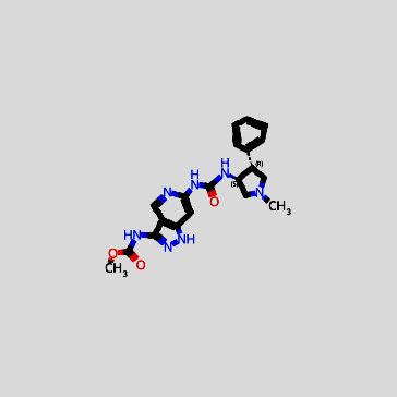 COC(=O)Nc1n[nH]c2cc(NC(=O)N[C@@H]3CN(C)C[C@H]3c3ccccc3)ncc12